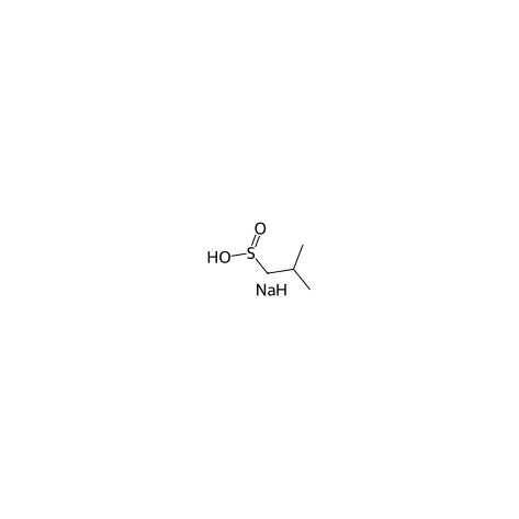 CC(C)CS(=O)O.[NaH]